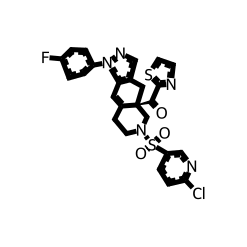 O=C(c1nccs1)[C@]12Cc3cnn(-c4ccc(F)cc4)c3C=C1CCN(S(=O)(=O)c1ccc(Cl)nc1)C2